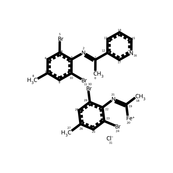 CC(=Nc1c(Br)cc(C)cc1Br)c1cccnc1.C[C]([Fe+])=Nc1c(Br)cc(C)cc1Br.[Cl-]